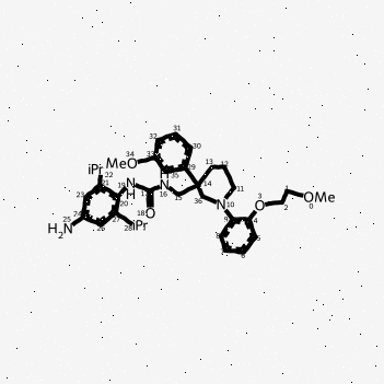 COCCOc1ccccc1N1CCCC(CNC(=O)Nc2c(C(C)C)cc(N)cc2C(C)C)(c2cccc(OC)c2)C1